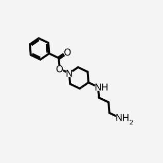 NCCCNC1CCN(OC(=O)c2ccccc2)CC1